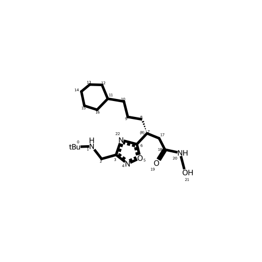 CC(C)(C)NCc1noc([C@H](CCCC2CCCCC2)CC(=O)NO)n1